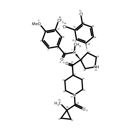 COc1ccc(C(=O)N(C)[C@]2(C(=O)C3CCN(C(=O)C4(C)CC4)CC3)CNC[C@H]2c2ccc(Cl)c(Cl)c2)cc1C(F)(F)F